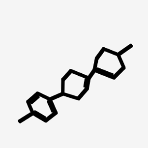 Cc1ccc(C2CC=C(C3=CCC(C)CC3)CC2)cc1